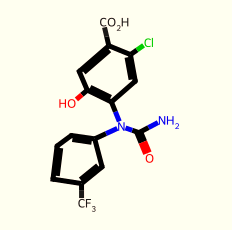 NC(=O)N(c1cccc(C(F)(F)F)c1)c1cc(Cl)c(C(=O)O)cc1O